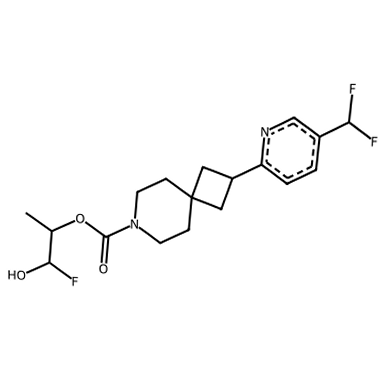 CC(OC(=O)N1CCC2(CC1)CC(c1ccc(C(F)F)cn1)C2)C(O)F